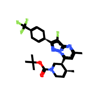 Cc1cc([C@H]2CN(C(=O)OC(C)(C)C)CC[C@H]2C)n2nc([C@H]3CC[C@H](C(F)(F)F)CC3)c(F)c2n1